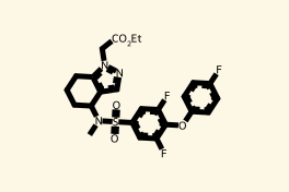 CCOC(=O)Cn1ncc2c1CCCC2N(C)S(=O)(=O)c1cc(F)c(Oc2ccc(F)cc2)c(F)c1